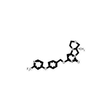 C[C@@]12COCCN1c1cc(OCc3ccc(Oc4ccnc(C(F)(F)F)c4)cc3)nc(=O)n1C2